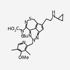 COc1c(C)cnc(Cn2nc3cc(CCNC4CC4)c4c-3c(n2)C(N(C(=O)O)C(C)(C)C)=NSC4)c1C